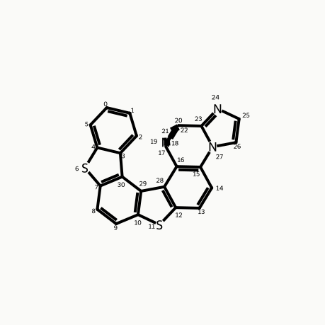 c1ccc2c(c1)sc1ccc3sc4ccc5c(c6cnccc6c6nccn56)c4c3c12